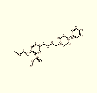 COCOc1ccc(CCCCN2CCN(c3ccccn3)CC2)nc1C(=O)OC